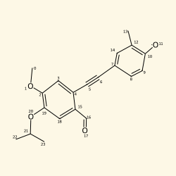 COc1cc(C#Cc2ccc([O])c(C)c2)c(C=O)cc1OC(C)C